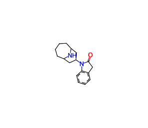 O=C1Cc2ccccc2N1C1CC2CCCCC(C1)N2